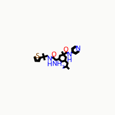 CC(C)CC1CC(C(N)C(=O)NCC(C)(C)c2cccs2)CC(C)(C(=O)Nc2ccncc2)C1